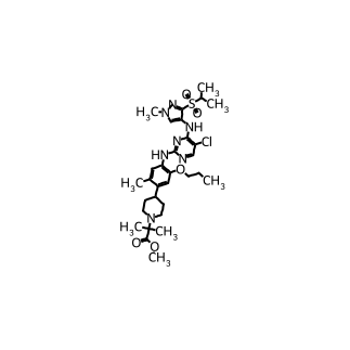 CCCOc1cc(C2CCN(C(C)(C)C(=O)OC)CC2)c(C)cc1Nc1ncc(Cl)c(Nc2cn(C)nc2S(=O)(=O)C(C)C)n1